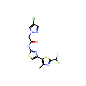 Cc1nc(C(F)F)sc1-c1csc(NC(=O)Cn2cc(Cl)cn2)n1